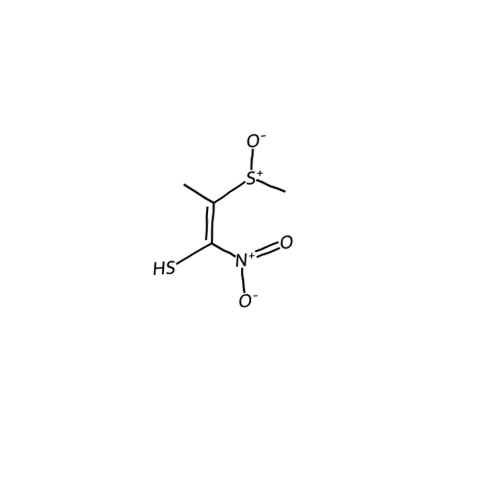 CC(=C(S)[N+](=O)[O-])[S+](C)[O-]